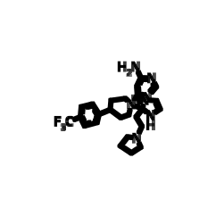 Nc1cc([N+]2(C3(CCN4CCCC4)NC=CN3)CCC(c3ccc(C(F)(F)F)cc3)CC2)ncn1